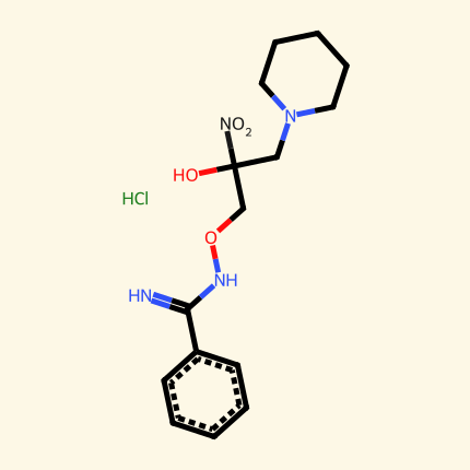 Cl.N=C(NOCC(O)(CN1CCCCC1)[N+](=O)[O-])c1ccccc1